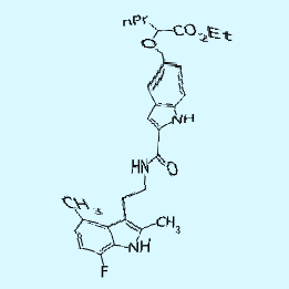 CCCC(Oc1ccc2[nH]c(C(=O)NCCc3c(C)[nH]c4c(F)ccc(C)c34)cc2c1)C(=O)OCC